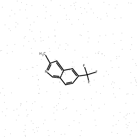 Cc1cc2cc(C(F)(F)F)ccc2cn1